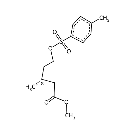 COC(=O)C[C@H](C)CCOS(=O)(=O)c1ccc(C)cc1